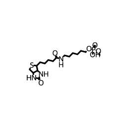 COP(=O)(O)OCCCCCCNC(=O)CCCCC1SCC2NC(=O)NC21